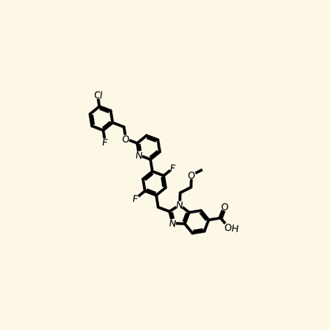 COCCn1c(Cc2cc(F)c(-c3cccc(OCc4cc(Cl)ccc4F)n3)cc2F)nc2ccc(C(=O)O)cc21